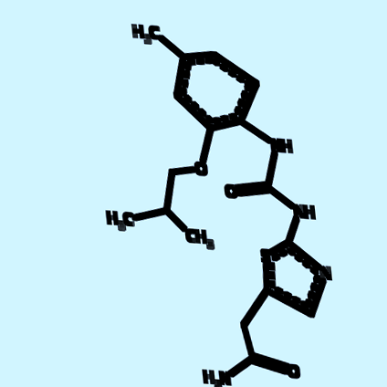 Cc1ccc(NC(=O)Nc2ncc(CC(N)=O)s2)c(OCC(C)C)c1